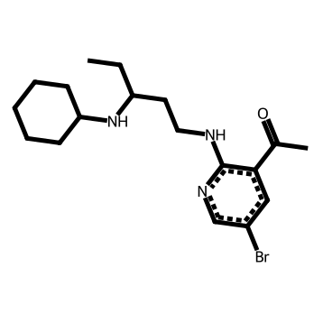 CCC(CCNc1ncc(Br)cc1C(C)=O)NC1CCCCC1